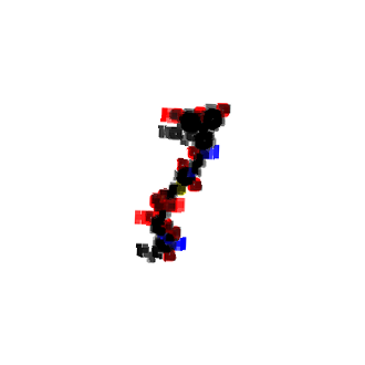 Cc1cn([C@H]2C[C@@H](O)[C@@H](COP(=O)(O)OCCSC3CC(=O)N(CCCC(=O)Nc4ccc(-c5c6ccc(=O)cc-6oc6cc(O)ccc56)c(C(=O)O)c4)C3=O)O2)c(=O)[nH]c1=O